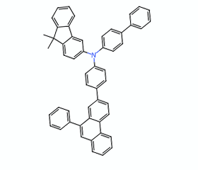 CC1(C)c2ccccc2-c2cc(N(c3ccc(-c4ccccc4)cc3)c3ccc(-c4ccc5c(c4)c(-c4ccccc4)cc4ccccc45)cc3)ccc21